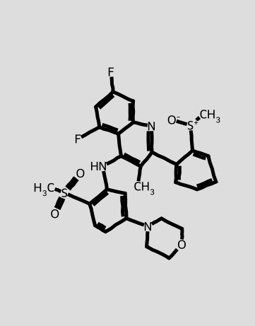 Cc1c(-c2ccccc2[S+](C)[O-])nc2cc(F)cc(F)c2c1Nc1cc(N2CCOCC2)ccc1S(C)(=O)=O